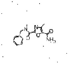 Cc1nc(C(=O)N(C)Cc2ccccc2)oc1C(N)=O